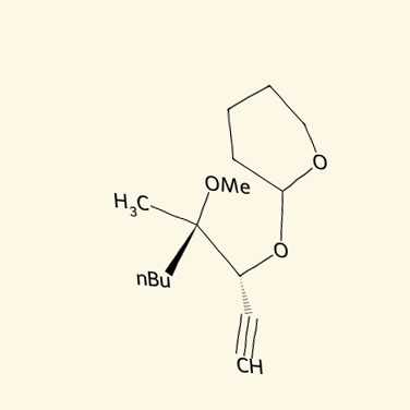 C#C[C@@H](OC1CCCCO1)[C@@](C)(CCCC)OC